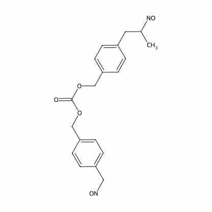 CC(Cc1ccc(COC(=O)OCc2ccc(CN=O)cc2)cc1)N=O